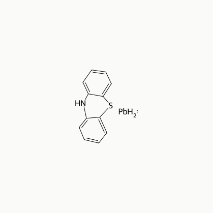 [PbH2].c1ccc2c(c1)Nc1ccccc1S2